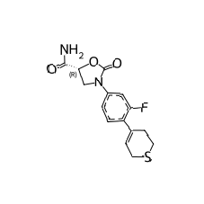 NC(=O)[C@H]1CN(c2ccc(C3=CCSCC3)c(F)c2)C(=O)O1